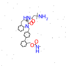 CNC(=O)OCc1ccccc1-c1ccc(CN2C(=O)[C@H](NC(=O)CC(C)(C)N)CCc3ccccc32)cc1